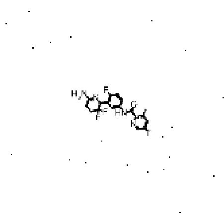 Cc1cc(F)cnc1C(=O)Nc1ccc(F)c(C2N=C(N)CCC2(F)F)c1